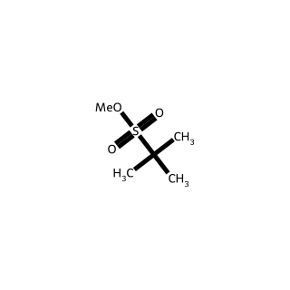 COS(=O)(=O)C(C)(C)C